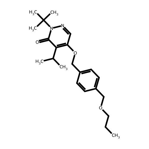 CCCOCc1ccc(COc2cnn(C(C)(C)C)c(=O)c2C(C)C)cc1